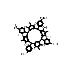 Cc1c(O)c2cc(c1O)C(c1ccc(C=O)cc1)c1cc(c(O)c(C)c1O)C(c1cc[c]([Cr]=[O])cc1)c1cc(c(O)c(C)c1O)C(c1cc[c]([Cr]=[O])cc1)c1cc(c(O)c(C)c1O)C2c1ccc(C=O)cc1